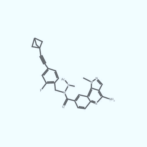 CC(=O)N(C)N(Cc1ccc(C#CC23CC(C2)C3)cc1F)C(=O)c1ccc2nc(N)c3cnn(C)c3c2c1